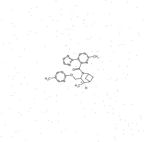 Cc1ccc(OCC2[C@H](C)C3CC(C3)N2C(=O)c2nc(C)ccc2-n2nccn2)nc1